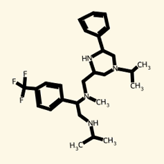 CC(C)NCC(c1ccc(C(F)(F)F)cc1)N(C)CC1CN(C(C)C)CC(c2ccccc2)N1